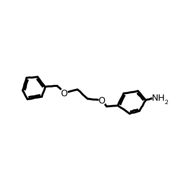 Nc1ccc(COCCOCc2ccccc2)cc1